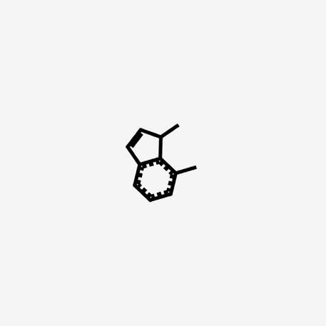 Cc1cccc2c1C(C)C=C2